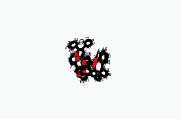 c1ccc(-c2ccccc2N(c2ccc3c(c2)-c2ccccc2Oc2ccccc2-3)c2ccc3c(c2)C2(c4ccccc4-c4ccccc4-3)c3ccccc3-c3c2c2ccccc2c2ccccc32)cc1